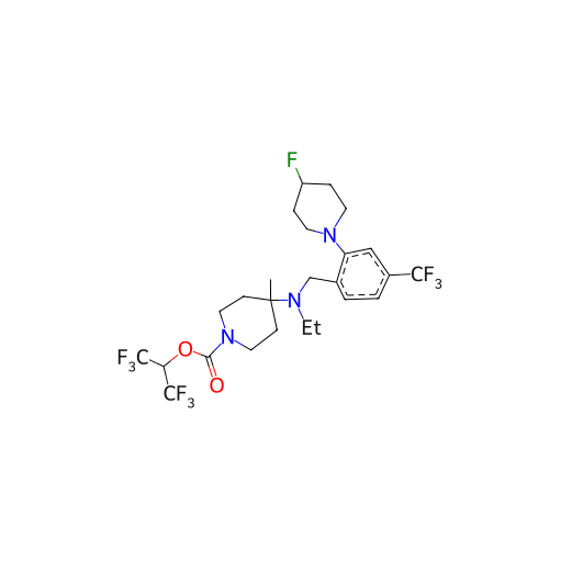 CCN(Cc1ccc(C(F)(F)F)cc1N1CCC(F)CC1)C1(C)CCN(C(=O)OC(C(F)(F)F)C(F)(F)F)CC1